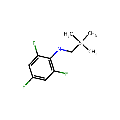 C[Si](C)(C)C[N]c1c(F)cc(F)cc1F